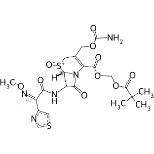 CO/N=C(\C(=O)NC1C(=O)N2C(C(=O)OCOC(=O)C(C)(C)C)=C(COC(N)=O)C[S+]([O-])[C@@H]12)c1cscn1